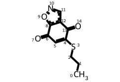 CCCSC1=CC(=O)c2oncc2C1=O